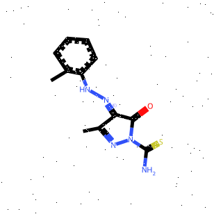 CC1=NN(C(N)=S)C(=O)/C1=N/Nc1ccccc1C